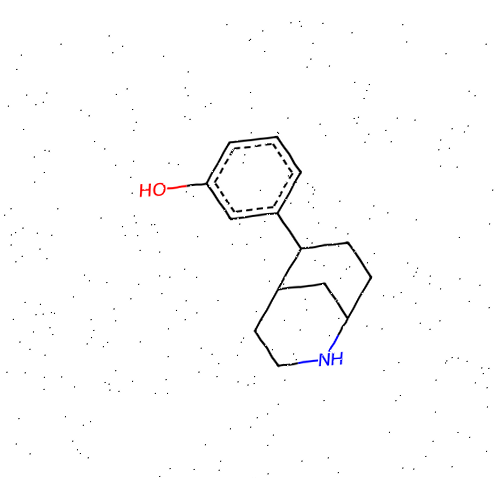 Oc1cccc(C2CCC3CC2CCN3)c1